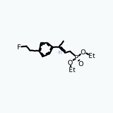 CCOP(=O)(C/C=C(\C)c1ccc(CCF)cc1)OCC